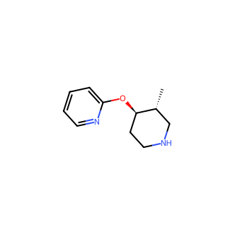 C[C@@H]1CNCC[C@H]1Oc1ccccn1